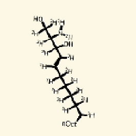 [2H]/C(=C(/[2H])[C@@]([2H])(O)[C@@]([2H])(N([2H])[2H])C([2H])([2H])O)C([2H])([2H])C([2H])([2H])C([2H])([2H])C([2H])([2H])C([2H])CCCCCCCC